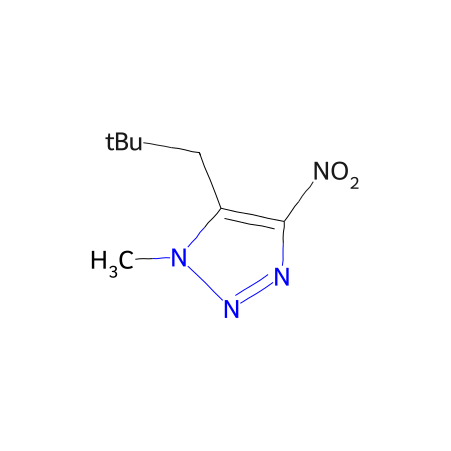 Cn1nnc([N+](=O)[O-])c1CC(C)(C)C